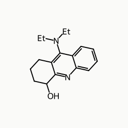 CCN(CC)c1c2c(nc3ccccc13)C(O)CCC2